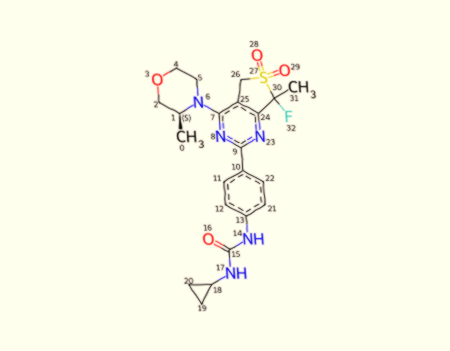 C[C@H]1COCCN1c1nc(-c2ccc(NC(=O)NC3CC3)cc2)nc2c1CS(=O)(=O)C2(C)F